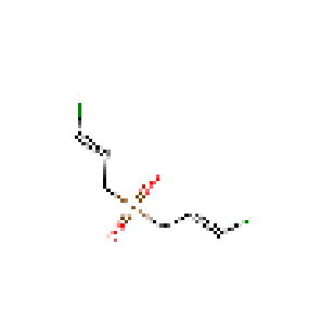 O=S(=O)(CC=CF)CC=CF